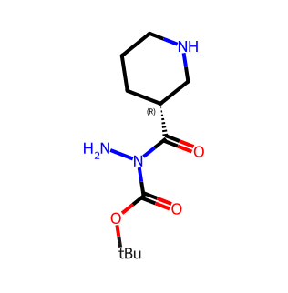 CC(C)(C)OC(=O)N(N)C(=O)[C@@H]1CCCNC1